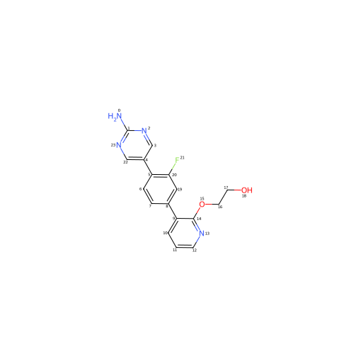 Nc1ncc(-c2ccc(-c3cccnc3OCCO)cc2F)cn1